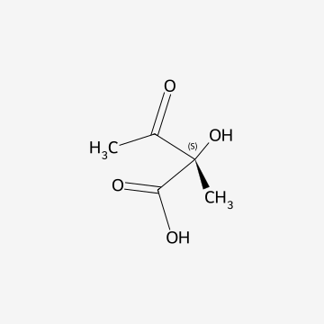 CC(=O)[C@](C)(O)C(=O)O